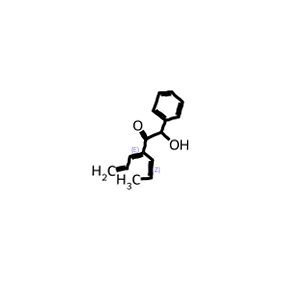 C=C/C=C(\C=C/C)C(=O)C(O)c1ccccc1